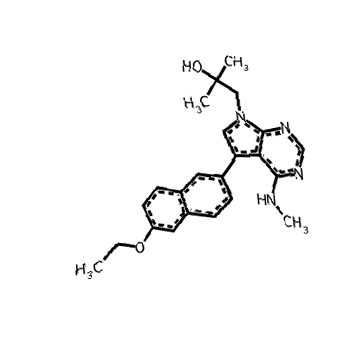 CCOc1ccc2cc(-c3cn(CC(C)(C)O)c4ncnc(NC)c34)ccc2c1